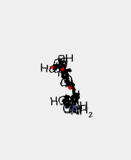 CCc1c2c(nc3ccc(OC(=O)N4CCC(CCn5ccc6cc(N/C(=N\N)c7cc(C(C)C)c(O)cc7O)ccc65)CC4)cc13)-c1cc([C@@](O)(CC)C(=O)O)c(CO)c(=O)n1C2